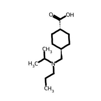 CCCN(C[C@H]1CC[C@H](C(=O)O)CC1)C(C)C